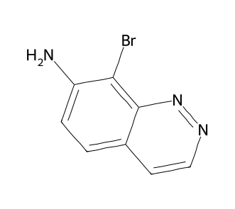 Nc1ccc2ccnnc2c1Br